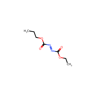 CCCOC(=O)/N=N/C(=O)OCC